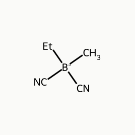 CC[B-](C)(C#N)C#N